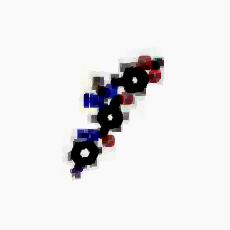 O=C(NC1CCC(I)CC1)c1ccc2c(=O)n(Cc3ccc4c(c3)OCO4)c(=S)[nH]c2c1